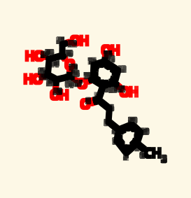 Cc1ccc(CCC(=O)c2c(O)cc(O)cc2O[C@@H]2OC(CO)[C@@H](O)[C@H](O)C2O)cc1